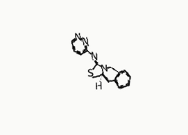 c1cnnc(/N=C2\SC[C@@H]3Cc4ccccc4CN23)c1